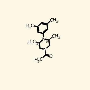 CC(=O)N1C[C@@H](C)N(c2cc(C)cc(C)c2)[C@@H](C)C1